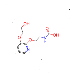 O=C(O)NCCOc1ncccc1OCCO